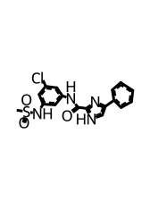 CS(=O)(=O)Nc1cc(Cl)cc(NC(=O)c2nc(-c3ccccc3)c[nH]2)c1